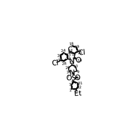 CCc1ccc(S(=O)(=O)N2CCC(N(C(=O)c3ccccc3Cl)c3cccc(Cl)c3)CC2)cc1